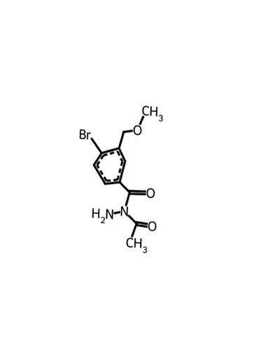 COCc1cc(C(=O)N(N)C(C)=O)ccc1Br